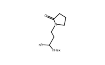 CCCCCCC(CCC)CCN1CCCC1=O